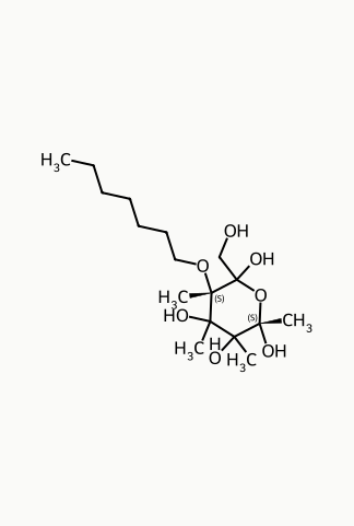 CCCCCCCO[C@]1(C)C(O)(CO)O[C@](C)(O)C(C)(O)C1(C)O